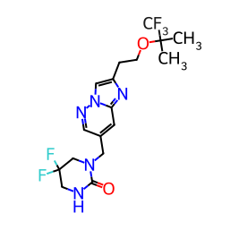 CC(C)(OCCc1cn2ncc(CN3CC(F)(F)CNC3=O)cc2n1)C(F)(F)F